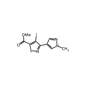 COC(=O)c1snc(-c2cnn(C)c2)c1I